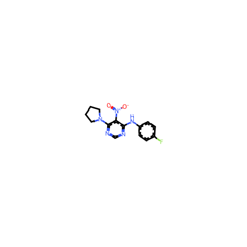 O=[N+]([O-])c1c(Nc2ccc(F)cc2)ncnc1N1CCCC1